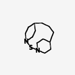 C1CC2CCN(CC2)SN2CCC(C1)CC2